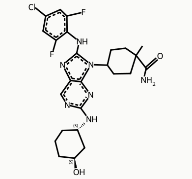 CC1(C(N)=O)CCC(n2c(Nc3c(F)cc(Cl)cc3F)nc3cnc(N[C@H]4CCC[C@H](O)C4)nc32)CC1